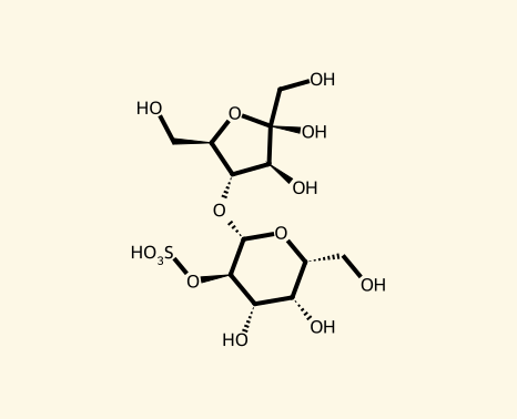 O=S(=O)(O)O[C@H]1[C@H](O[C@@H]2[C@@H](CO)O[C@](O)(CO)[C@H]2O)O[C@H](CO)[C@H](O)[C@@H]1O